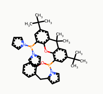 CC(C)(C)c1cc(P2Oc3ccccc3Cc3cccn32)c2c(c1)C(C)(C)c1cc(C(C)(C)C)cc(P(n3cccc3)n3cccc3)c1O2